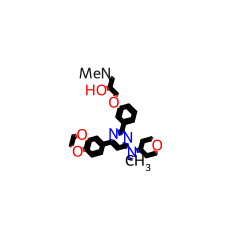 CNCC(O)COc1cccc(-c2nc(-c3ccc4c(c3)OCCO4)cc(N(C)C3CCOCC3)n2)c1